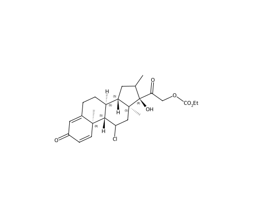 CCOC(=O)OCC(=O)[C@@]1(O)C(C)C[C@H]2[C@@H]3CCC4=CC(=O)C=C[C@]4(C)[C@H]3C(Cl)C[C@@]21C